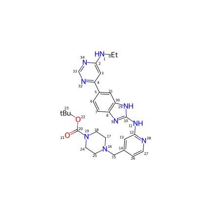 CCNc1cc(-c2ccc3nc(Nc4cc(CN5CCN(C(=O)OC(C)(C)C)CC5)ccn4)[nH]c3c2)ncn1